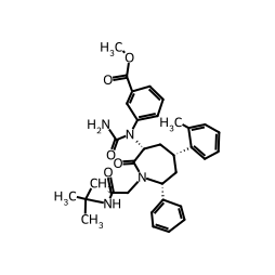 COC(=O)c1cccc(N(C(N)=O)[C@@H]2C[C@H](c3ccccc3C)C[C@H](c3ccccc3)N(CC(=O)NC(C)(C)C)C2=O)c1